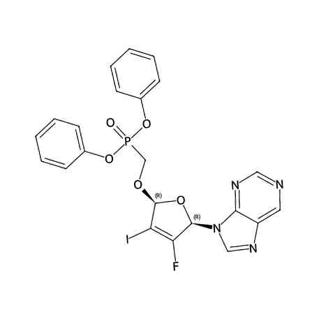 O=P(CO[C@H]1O[C@@H](n2cnc3cncnc32)C(F)=C1I)(Oc1ccccc1)Oc1ccccc1